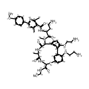 CCCOc1ccc(-c2nc(C)c(C(=O)NC(CCN)C(=O)N(C)C3C(=O)NC(C)C(=O)NC(C(=O)NCC#N)Cc4ccc(OCCN)c(c4)-c4cc3ccc4OCCN)c(C)n2)cc1